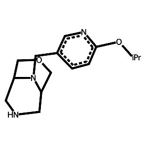 CC(C)Oc1ccc(CN2C3CNCC2COC3)cn1